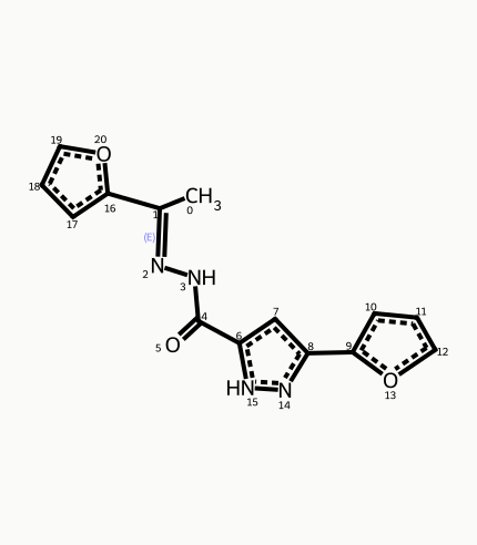 C/C(=N\NC(=O)c1cc(-c2ccco2)n[nH]1)c1ccco1